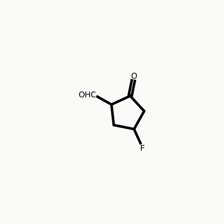 O=CC1CC(F)CC1=O